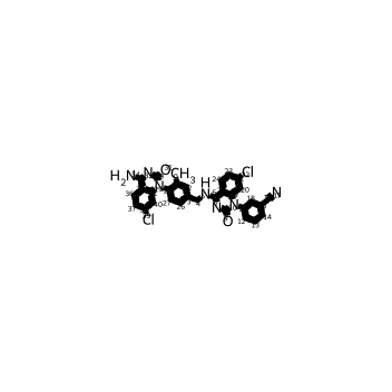 Cc1cc(CNc2nc(=O)n(-c3cccc(C#N)c3)c3cc(Cl)ccc23)ccc1-n1c(=O)nc(N)c2ccc(Cl)cc21